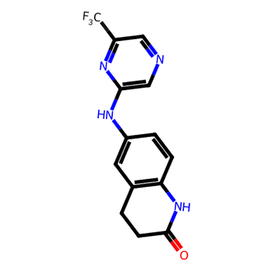 O=C1CCc2cc(Nc3cncc(C(F)(F)F)n3)ccc2N1